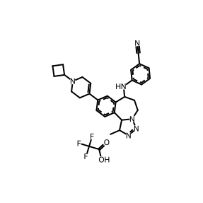 CC1N=NN2CCC(Nc3cccc(C#N)c3)c3cc(C4=CCN(C5CCC5)CC4)ccc3C12.O=C(O)C(F)(F)F